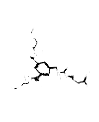 CC(C)SCCNC(=O)c1cc(CNC(=O)NCCC(=O)C(C)C)cc(C(=O)NCCSC(C)C)c1